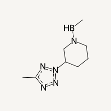 CBN1CCCC(n2nnc(C)n2)C1